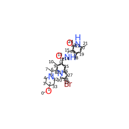 COC1CCN(C(C)c2c(C)c(C(=O)NCc3c(C)cc(C)[nH]c3=O)cc3cc(Br)cn23)CC1